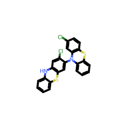 Clc1ccc2c(c1)N(c1cc3c(cc1Cl)Nc1ccccc1S3)c1ccccc1S2